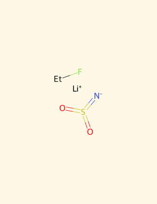 CCF.[Li+].[N-]=S(=O)=O